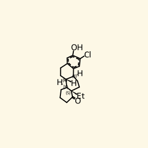 CC[C@]12CC[C@@H]3c4cc(Cl)c(O)cc4CC[C@H]3[C@@H]1CCCC2=O